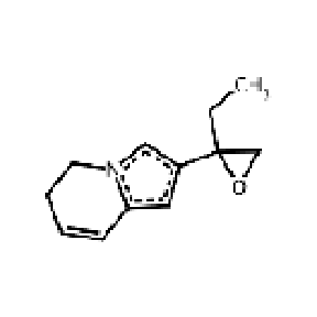 CCC1(c2cc3n(c2)CCC=C3)CO1